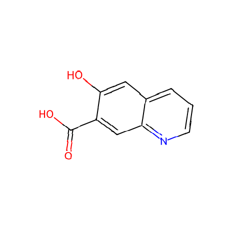 O=C(O)c1cc2ncccc2cc1O